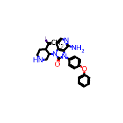 C=C(I)C1CCNCC1n1c(=O)n(-c2ccc(Oc3ccccc3)cc2)c2c(N)nccc21